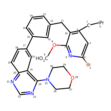 CC(C)Cc1cc(Br)nc(OC(=O)O)c1Cc1cccc(-c2ccc3ncnc(N4CCOCC4)c3c2)c1